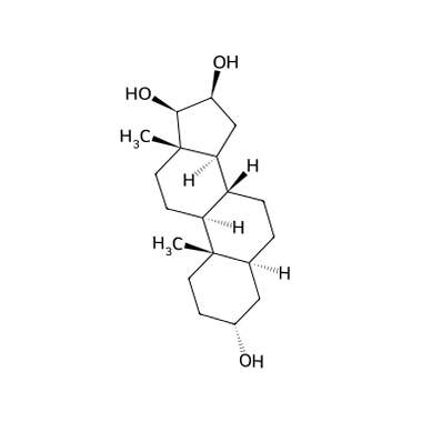 C[C@]12CC[C@@H](O)C[C@@H]1CC[C@@H]1[C@@H]2CC[C@]2(C)[C@@H](O)[C@@H](O)C[C@@H]12